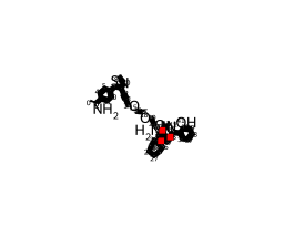 C[C@H](N)c1ccc(-c2scnc2C#CCOCCOCCOc2cc(N3C4CCC3CN(c3cc(-c5ccccc5O)nnc3N)C4)ccn2)cc1